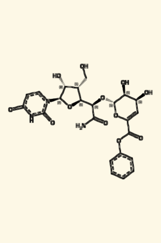 NC(=O)[C@H](O[C@H]1OC(C(=O)Oc2ccccc2)=C[C@H](O)[C@@H]1O)[C@H]1O[C@@H](n2ccc(=O)[nH]c2=O)[C@H](O)[C@@H]1CO